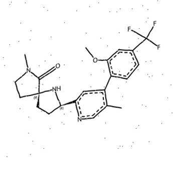 COc1cc(C(F)(F)F)ccc1-c1cc([C@H]2CC[C@]3(CCN(C)C3=O)N2)ncc1C